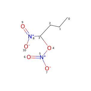 CCCC(O[N+](=O)[O-])[N+](=O)[O-]